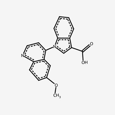 COc1ccc2nccc(-n3cc(C(=O)O)c4ccccc43)c2c1